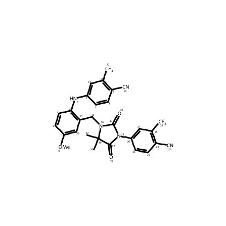 COc1ccc(Nc2ccc(C#N)c(C(F)(F)F)c2)c(CN2C(=O)N(c3ccc(C#N)c(C(F)(F)F)c3)C(=O)C2(C)C)c1